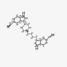 N#Cc1ccc2[nH]cc(CCCCN3CCC(c4c[nH]c5ccc(C#N)cc45)CC3)c2c1